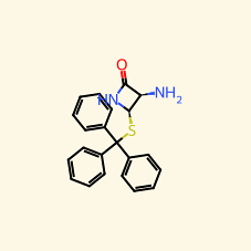 N[C@@H]1C(=O)N[C@@H]1SC(c1ccccc1)(c1ccccc1)c1ccccc1